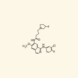 COc1cc2ccnc(Nc3ccc(F)c(Cl)c3)c2cc1NC(=O)CCCN1CCC(F)C1